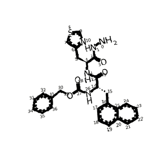 NNC(=O)[C@H](Cc1cscn1)NC(=O)[C@H](Cc1cccc2ccccc12)NC(=O)OCc1ccccc1